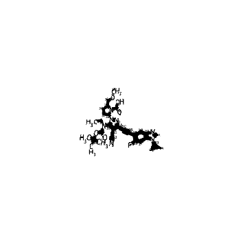 CCN(C(=O)OC(C)(C)C)c1c(C#N)c(C#Cc2cc3ncn(C4CC4)c3cc2F)nn1C1CCC(COC)N1C(=O)O